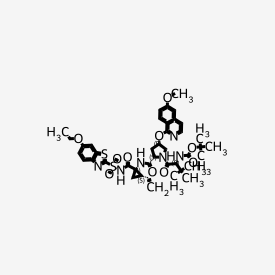 C=C[C@@H]1C[C@]1(NC(=O)[C@@H]1C[C@@H](Oc2nccc3cc(OC)ccc23)CN1C(=O)[C@@H](NC(=O)OC(C)(C)C)C(C)(C)C)C(=O)NS(=O)(=O)c1nc2ccc(OCC)cc2s1